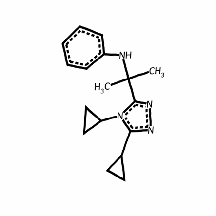 CC(C)(Nc1ccccc1)c1nnc(C2CC2)n1C1CC1